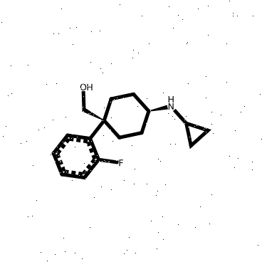 OC[C@]1(c2ccccc2F)CC[C@H](NC2CC2)CC1